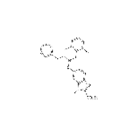 CCOC(=O)c1oc2ccc(SN(CCc3ccccc3)Cc3c(C)cccc3C)cc2c1C